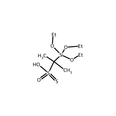 CCO[Si](OCC)(OCC)C(C)(C)S(=O)(O)=S